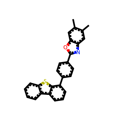 Cc1cc2nc(-c3ccc(-c4cccc5c4sc4ccccc45)cc3)oc2cc1C